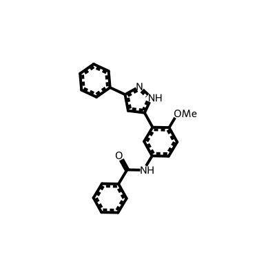 COc1ccc(NC(=O)c2ccccc2)cc1-c1cc(-c2ccccc2)n[nH]1